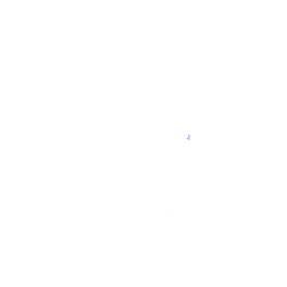 CCOC(=O)c1[nH]c2ccccc2c1-c1ccccc1C